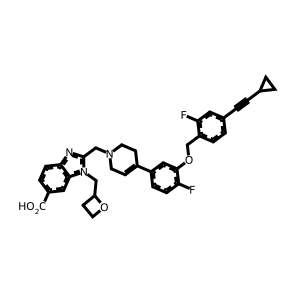 O=C(O)c1ccc2nc(CN3CC=C(c4ccc(F)c(OCc5ccc(C#CC6CC6)cc5F)c4)CC3)n(CC3CCO3)c2c1